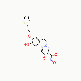 CSCCCOc1cc2c(cc1O)-c1cc(=O)c(C(=O)N=O)cn1CC2